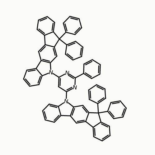 c1ccc(-c2nc(-n3c4ccccc4c4cc5c(cc43)C(c3ccccc3)(c3ccccc3)c3ccccc3-5)cc(-n3c4ccccc4c4cc5c(cc43)C(c3ccccc3)(c3ccccc3)c3ccccc3-5)n2)cc1